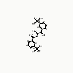 O=C(CC(Br)C(=O)c1cccc(C(F)(F)F)c1)c1cccc(C(F)(F)F)c1